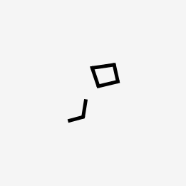 C1CCC1.CCC